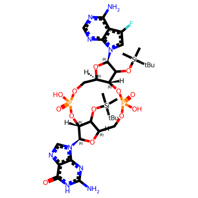 CC(C)(C)[Si](C)(C)OC1[C@H]2OP(=O)(O)OC[C@H]3O[C@@H](n4cc(F)c5c(N)ncnc54)C(O[Si](C)(C)C(C)(C)C)[C@@H]3OP(=O)(O)OC[C@H]1O[C@H]2n1cnc2c(=O)[nH]c(N)nc21